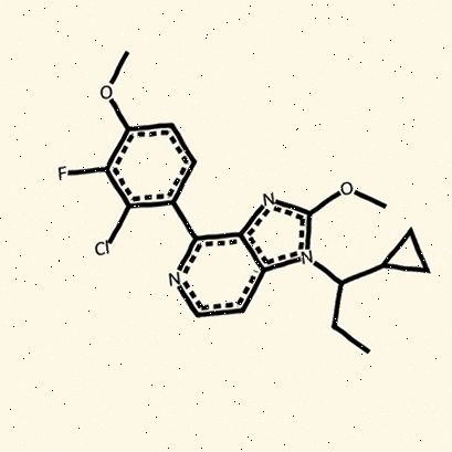 CCC(C1CC1)n1c(OC)nc2c(-c3ccc(OC)c(F)c3Cl)nccc21